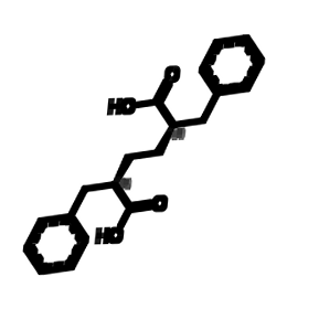 O=C(O)[C@H](CC[C@H](Cc1ccccc1)C(=O)O)Cc1ccccc1